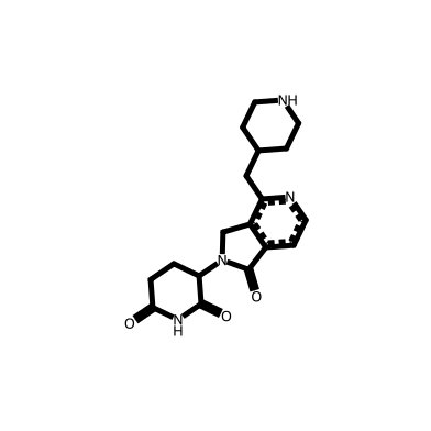 O=C1CCC(N2Cc3c(ccnc3CC3CCNCC3)C2=O)C(=O)N1